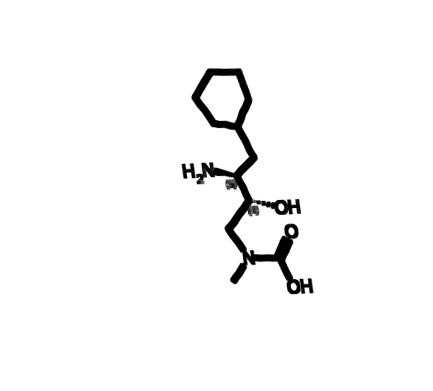 CN(C[C@@H](O)[C@@H](N)CC1CCCCC1)C(=O)O